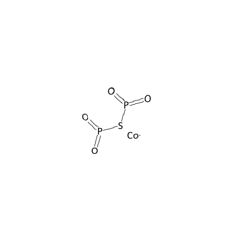 O=P(=O)SP(=O)=O.[Co]